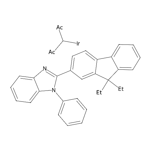 CC(=O)[CH]([Ir])C(C)=O.CCC1(CC)c2ccccc2-c2ccc(-c3nc4ccccc4n3-c3ccccc3)cc21